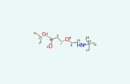 CC(C)OC(=O)CCOCCNC(C)(C)C